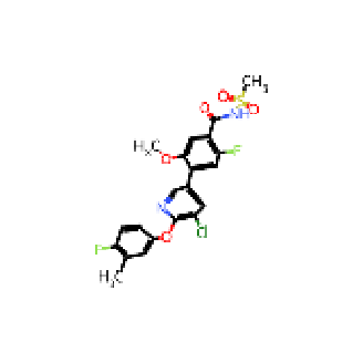 COc1cc(C(=O)NS(C)(=O)=O)c(F)cc1-c1cnc(Oc2ccc(F)c(C)c2)c(Cl)c1